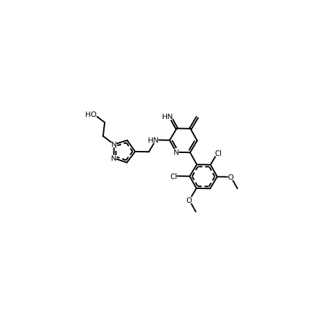 C=C1C=C(c2c(Cl)c(OC)cc(OC)c2Cl)N=C(NCc2cnn(CCO)c2)C1=N